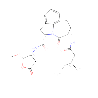 CC[C@H](C)CC(=O)N[C@H]1CCc2cccc3c2N(C1=O)[C@H](C(=O)N[C@H]1CC(=O)OC1OC)C3